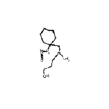 CN(CCCO)CC1(SN=O)CCCCC1